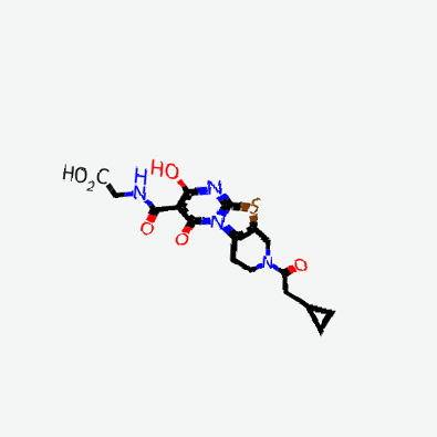 O=C(O)CNC(=O)c1c(O)nc2sc3c(n2c1=O)CCN(C(=O)CC1CC1)C3